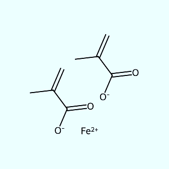 C=C(C)C(=O)[O-].C=C(C)C(=O)[O-].[Fe+2]